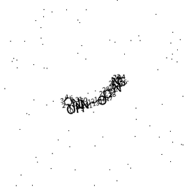 Oc1ccccc1N1CCN(CCCCOc2ccc(-c3cn4ccsc4n3)cc2)CC1